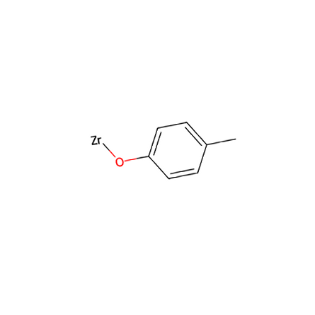 Cc1ccc([O][Zr])cc1